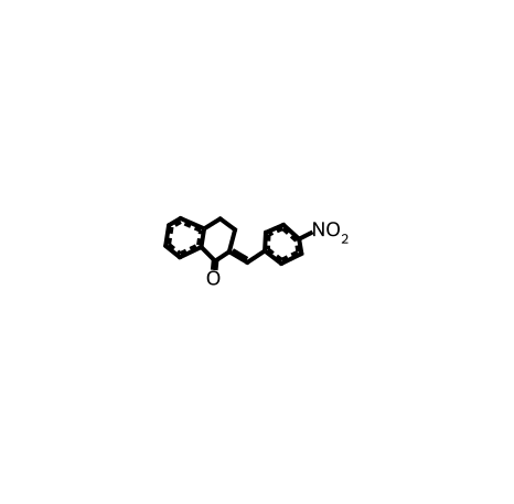 O=C1C(=Cc2ccc([N+](=O)[O-])cc2)CCc2ccccc21